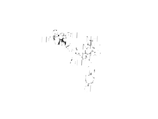 C[C@H]1[C@@H](O)[C@H](n2c[n+](CCOc3ccc(Cl)cc3)c3c([O-])nc(N)nc32)O[C@@H]1COP(=O)(O)OP(=O)(O)O